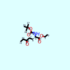 CCOC(=O)[C@H](CCC(=O)CC)NC(=O)OC(C)(C)C